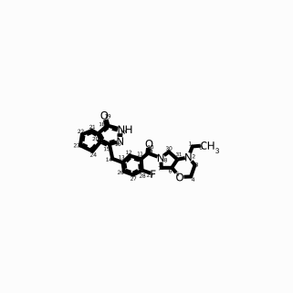 CCN1CCOC2CN(C(=O)c3cc(Cc4n[nH]c(=O)c5ccccc45)ccc3F)CC21